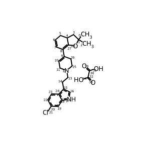 CC1(C)CC2CC=CC(C3=CCN(CCc4c[nH]c5cc(Cl)ccc45)CC3)=C2O1.O=C(O)C(=O)O